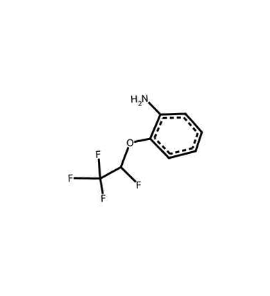 Nc1ccccc1OC(F)C(F)(F)F